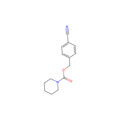 N#Cc1ccc(COC(=O)N2CCCCC2)cc1